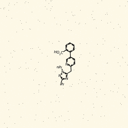 CCCn1nc(C(C)C)nc1Cc1ccc(-c2ccccc2C(=O)O)cn1